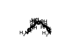 Cl.Cl.NCc1ccc(CNC(=O)CC#CC(O)c2ccc(C(O)C#CCC(=O)NCc3ccc(CN)cc3)cc2)cc1